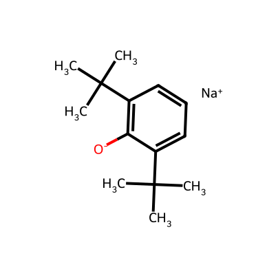 CC(C)(C)c1cccc(C(C)(C)C)c1[O-].[Na+]